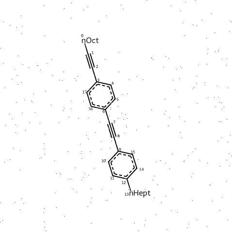 CCCCCCCCC#Cc1ccc(C#Cc2ccc(CCCCCCC)cc2)cc1